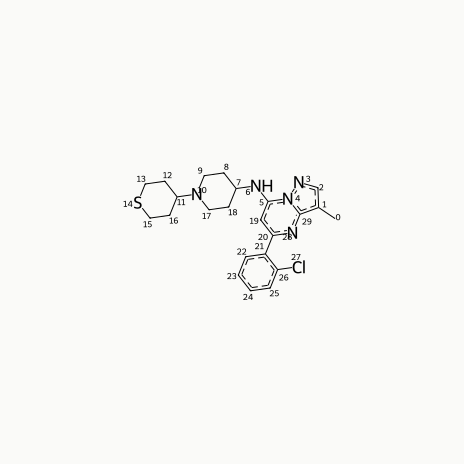 Cc1cnn2c(NC3CCN(C4CCSCC4)CC3)cc(-c3ccccc3Cl)nc12